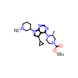 C[C@H]1CN(C(=O)OC(C)(C)C)CCN1c1ncnc2c1c(C1CC1)cn2C1CCCN(C#N)C1